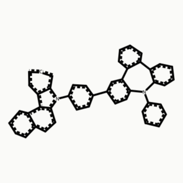 c1ccc(N2c3ccccc3-c3ccccc3-c3cc(-c4ccc(-n5c6ccccc6c6c7ccccc7ccc65)cc4)ccc32)cc1